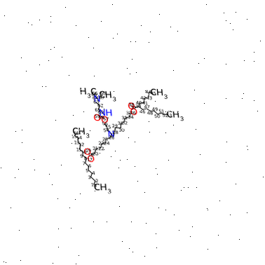 CCCCCCCCC(CCCCCCCC)OC(=O)CCCCCCCN(CCCCCCCCOC(=O)C(CCCCCC)CCCCCCCC)CCCOC(=O)NCCCN(CC)CC